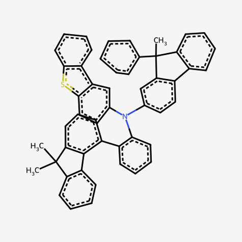 CC1(C)c2ccccc2-c2c(-c3ccccc3N(c3ccc4c(c3)C(C)(c3ccccc3)c3ccccc3-4)c3ccc4sc5ccccc5c4c3)cccc21